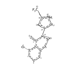 O=c1c2c(Cl)cccc2ccn1-c1cc(C(F)(F)F)[nH]n1